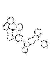 c1ccc(-c2cccc(-c3cccc(-n4c5ccccc5c5cc6c(cc54)c4ccccc4n6-c4ccccc4)c3)c2-n2c3ccccc3c3ccccc32)cc1